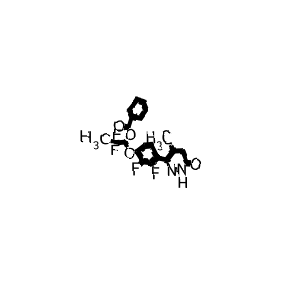 CC1CC(=O)NN=C1c1ccc(OC(OC(=O)c2ccccc2)C(C)(F)F)c(F)c1F